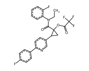 CCN(C(=O)C1(OC(=O)C(F)(F)F)CC1c1ccc(-c2ccc(F)cc2)nc1)c1ccccc1F